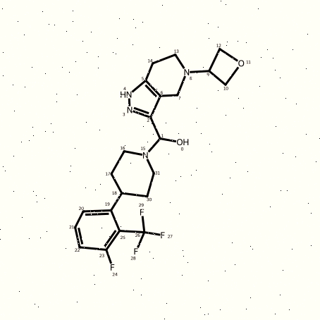 OC(c1n[nH]c2c1CN(C1COC1)CC2)N1CCC(c2cccc(F)c2C(F)(F)F)CC1